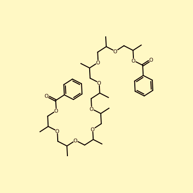 CC(COC(=O)c1ccccc1)OCC(C)OCC(C)OCC(C)OCC(C)OCC(C)OCC(C)OCC(C)OC(=O)c1ccccc1